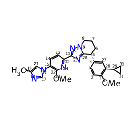 COc1ccc([C@H]2CCCn3nc(-c4ccc(-n5cnc(C)c5)c(OC)n4)nc32)cc1C1CC1